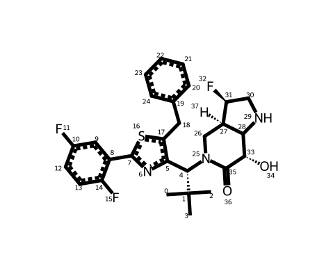 CC(C)(C)[C@H](c1nc(-c2cc(F)ccc2F)sc1Cc1ccccc1)N1C[C@@H]2C(NC[C@@H]2F)[C@H](O)C1=O